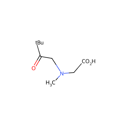 CN(CC(=O)O)CC(=O)C(C)(C)C